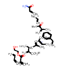 C=C(C)C#N.C=C(C)C(=O)OC.C=C(CC(=O)O)C(=O)O.C=CC#N.C=CC(=O)OCCO.C=CC(N)=O.C=CC=C.C=Cc1ccccc1.O=C(O)/C=C\C(=O)O